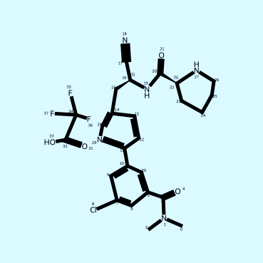 CN(C)C(=O)c1cc(Cl)cc(-c2ccc(C[C@@H](C#N)NC(=O)[C@@H]3CCCCN3)cn2)c1.O=C(O)C(F)(F)F